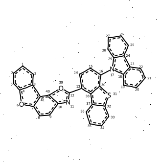 c1ccc2c(c1)oc1ccc3nc(-c4ccc(-n5c6ccccc6c6ccccc65)c5sc6ccccc6c45)oc3c12